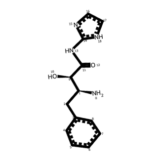 N[C@@H](Cc1ccccc1)[C@@H](O)C(=O)Nc1ncc[nH]1